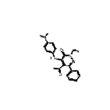 CCn1nc(-c2ccccc2)c(C(C)=O)c(Nc2ccc(N(C)C)cc2)c1=O